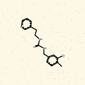 Cc1ccc(CNC(=O)NCCc2cccnc2)cc1Cl